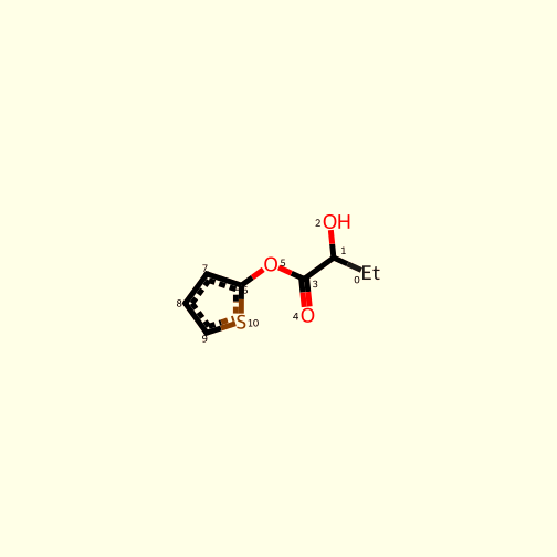 CCC(O)C(=O)Oc1cccs1